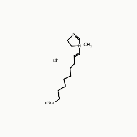 CCCCCCCCCCCCCCCCC=C[N+]1(C)C=NCC1.[Cl-]